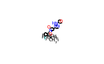 CC(C)(C)[Si](C)(C)O[C@H](Cn1ccc(-c2ccnc(NC3CCOCC3)n2)cc1=O)c1cccc(F)c1